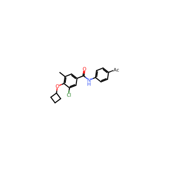 CC(=O)c1ccc(NC(=O)c2cc(C)c(OC3CCC3)c(Cl)c2)cc1